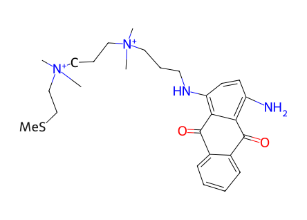 CSCC[N+](C)(C)CCC[N+](C)(C)CCCNc1ccc(N)c2c1C(=O)c1ccccc1C2=O